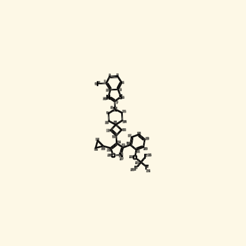 Fc1cccc2sc(N3CCC4(C=C(c5c(-c6ccccc6OC(F)(F)F)noc5C5CC5)C4)CC3)nc12